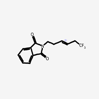 O=C1c2ccccc2C(=O)N1CC/C=C/CC(F)(F)F